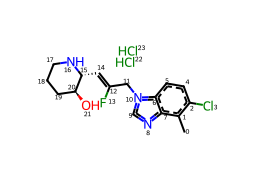 Cc1c(Cl)ccc2c1ncn2C/C(F)=C/[C@H]1NCCC[C@@H]1O.Cl.Cl